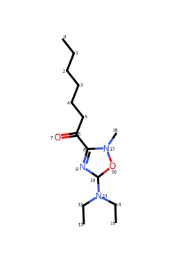 CCCCCCC(=O)C1=NC(N(CC)CC)ON1C